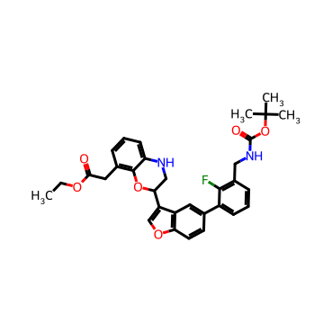 CCOC(=O)Cc1cccc2c1OC(c1coc3ccc(-c4cccc(CNC(=O)OC(C)(C)C)c4F)cc13)CN2